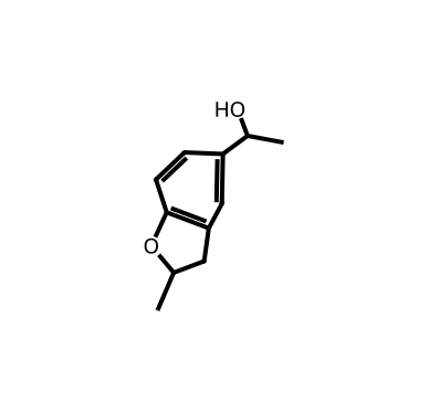 CC1Cc2cc(C(C)O)ccc2O1